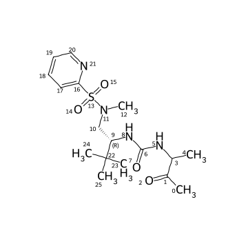 CC(=O)C(C)NC(=O)N[C@@H](CN(C)S(=O)(=O)c1ccccn1)C(C)(C)C